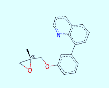 C[C@]1(COc2cccc(-c3cccc4cccnc34)c2)CO1